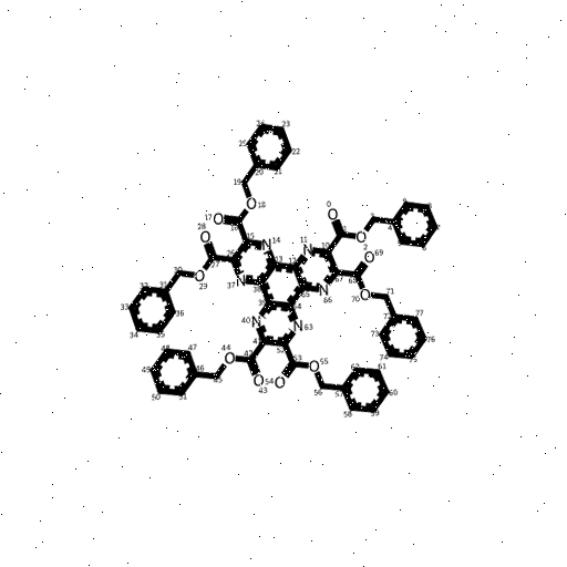 O=C(OCc1ccccc1)c1nc2c3nc(C(=O)OCc4ccccc4)c(C(=O)OCc4ccccc4)nc3c3nc(C(=O)OCc4ccccc4)c(C(=O)OCc4ccccc4)nc3c2nc1C(=O)OCc1ccccc1